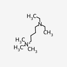 CCN(CC)CCCC[N+](C)(C)C